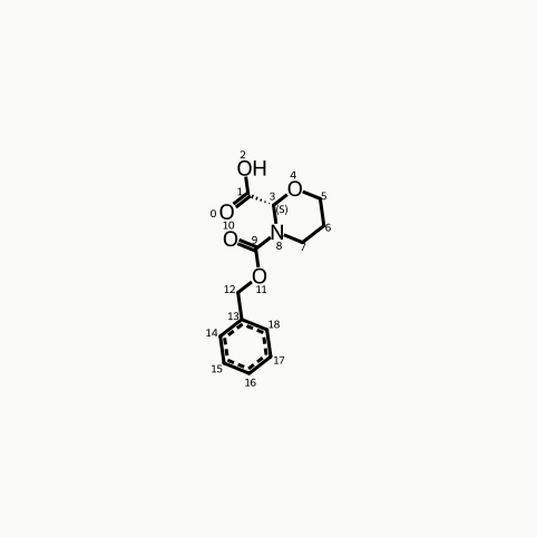 O=C(O)[C@@H]1OCCCN1C(=O)OCc1ccccc1